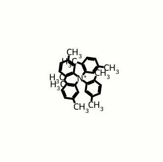 Cc1ccc(C)c([N+](c2cc(C)ccc2C)(c2cc(C)ccc2C)c2cc(C)ccc2C)c1